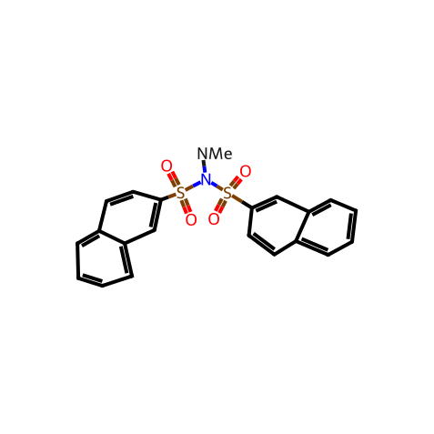 CNN(S(=O)(=O)c1ccc2ccccc2c1)S(=O)(=O)c1ccc2ccccc2c1